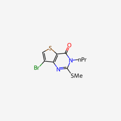 CCCn1c(SC)nc2c(Br)csc2c1=O